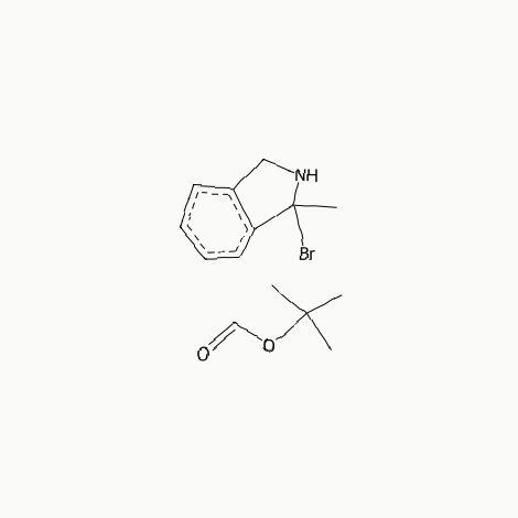 CC(C)(C)OC=O.CC1(Br)NCc2ccccc21